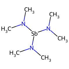 C[N](C)[Sb]([N](C)C)[N](C)C